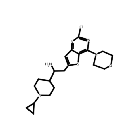 NC(Cc1cc2nc(Cl)nc(N3CCOCC3)c2s1)C1CCN(C2CC2)CC1